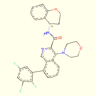 O=C(N[C@H]1CCOc2ccccc21)c1ncc2c(-c3cc(F)cc(F)c3F)cccc2c1N1CCOCC1